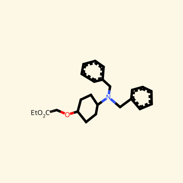 CCOC(=O)COC1CCC(N(Cc2ccccc2)Cc2ccccc2)CC1